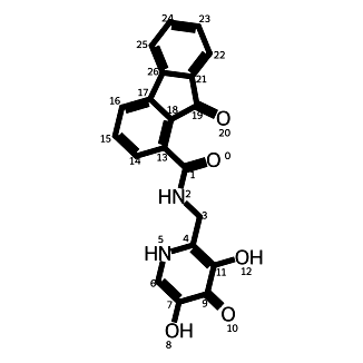 O=C(NCc1[nH]cc(O)c(=O)c1O)c1cccc2c1C(=O)c1ccccc1-2